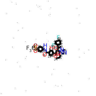 CC(CC1(c2ccc(C(=O)Nc3ccc(S(=O)(=O)C(F)(F)F)cc3)cc2)OCCCO1)[C@@](O)(Cn1cncn1)c1ccc(F)cc1F